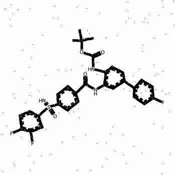 CC(C)(C)OC(=O)Nc1ccc(-c2ccc(F)cc2)cc1NC(=O)c1ccc(S(=N)(=O)c2ccc(F)c(F)c2)cc1